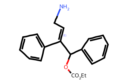 CCOC(=O)OC(/C(=C/CN)c1ccccc1)c1ccccc1